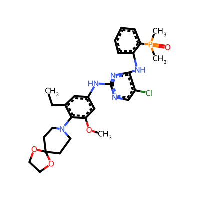 CCc1cc(Nc2ncc(Cl)c(Nc3ccccc3P(C)(C)=O)n2)cc(OC)c1N1CCC2(CC1)OCCO2